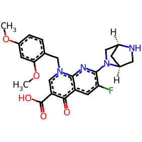 COc1ccc(Cn2cc(C(=O)O)c(=O)c3cc(F)c(N4C[C@@H]5C[C@H]4CN5)nc32)c(OC)c1